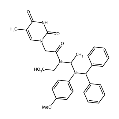 COc1ccc(N(C(c2ccccc2)c2ccccc2)C(C)N(CC(=O)O)C(=O)Cn2cc(C)c(=O)[nH]c2=O)cc1